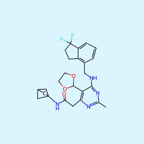 Cc1nc(CC(=O)NC23CC(C2)C3)c(C2OCCO2)c(NCc2cccc3c2CCC3(F)F)n1